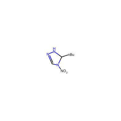 CCCCC1NN=CN1[N+](=O)[O-]